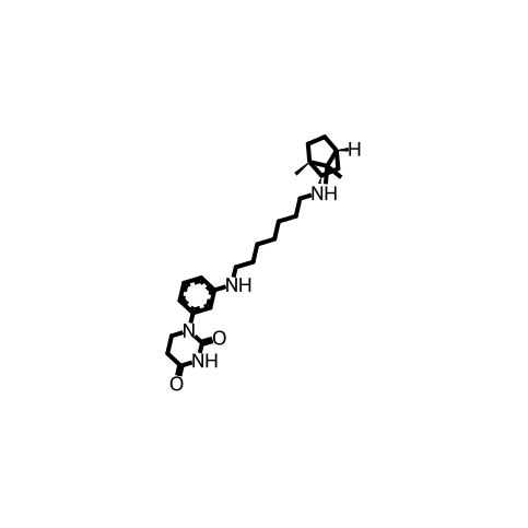 CC1(C)[C@@H]2CC[C@@]1(C)[C@@H](NCCCCCCCNc1cccc(N3CCC(=O)NC3=O)c1)C2